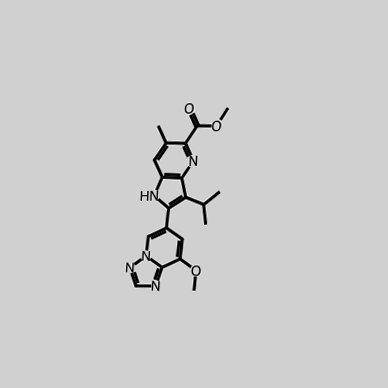 COC(=O)c1nc2c(C(C)C)c(-c3cc(OC)c4ncnn4c3)[nH]c2cc1C